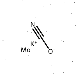 N#C[O-].[K+].[Mo]